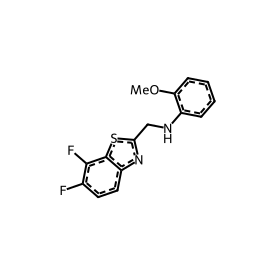 COc1ccccc1NCc1nc2ccc(F)c(F)c2s1